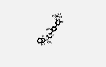 CN(c1cnc(-c2ccc(-c3cc(F)nc(OC(S)(S)S)c3)cc2O)nn1)[C@H]1C[C@@H]2CCC[C@@H](C2)[C@H]1F